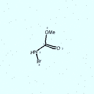 COC(=O)NBr